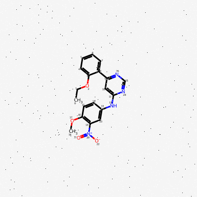 CCOc1ccccc1-c1cc(Nc2ccc(OC)c([N+](=O)[O-])c2)ncn1